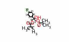 CC(C)C(=O)OCC(O)(COC(=O)C(C)C)c1ccc(F)cc1